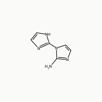 Nc1nccn1-c1ncc[nH]1